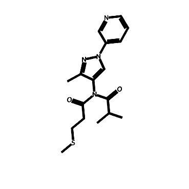 CSCCC(=O)N(C(=O)C(C)C)c1cn(-c2cccnc2)nc1C